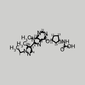 CCn1ncc(-c2nc3c(O[C@@H]4CC[C@H](NC(=O)O)C4)ncnc3n2C)c1C